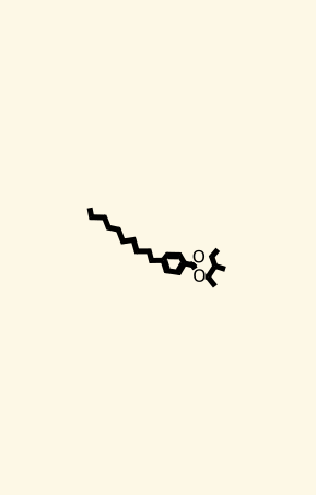 CCCCCCCCCCc1ccc(C(=O)OC(C)C(C)CC)cc1